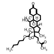 CCCCCOC(=O)O[C@]1(C(=O)COC(C)=O)[C@H](C)C[C@H]2[C@@H]3CCC4=CC(=O)C=C[C@]4(C)[C@@]3(Cl)C(O)C[C@@]21C